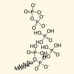 O=P(O)(O)O.O=P(O)(O)O.O=P([O-])([O-])OP(=O)(O)O.O=P([O-])([O-])OP(=O)([O-])[O-].[Mn+2].[Mn+2].[Na+].[Na+]